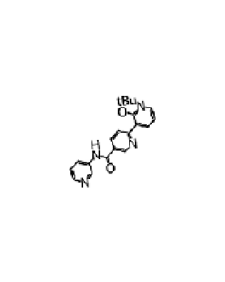 CC(C)(C)Oc1ncccc1-c1ccc(C(=O)Nc2cccnc2)cn1